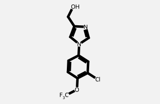 OCc1cn(-c2ccc(OC(F)(F)F)c(Cl)c2)cn1